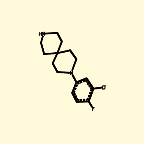 Fc1ccc(N2CCC3(CCNCC3)CC2)cc1Cl